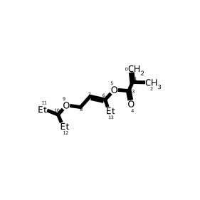 C=C(C)C(=O)O/C(=C/COC(CC)CC)CC